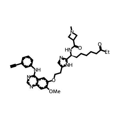 C#Cc1cccc(Nc2ncnc3cc(OC)c(OCCc4cnc([C@H](CCCCCC(=O)CC)NC(=O)C5CN(C)C5)[nH]4)cc23)c1